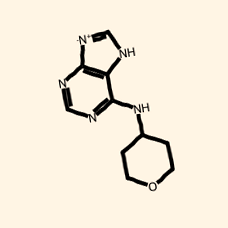 C1=[N+]c2ncnc(NC3CCOCC3)c2N1